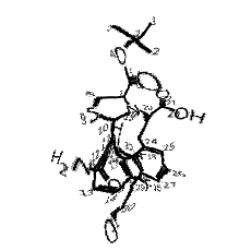 CC(C)(C)OC(=O)C1CSC(c2cccc(F)c2F)N1C(C(=O)O)c1cccc(CC=O)c1NC(N)=O